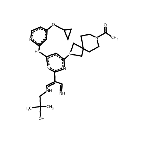 CC(=O)N1CCC2(CC1)CN(c1cc(Nc3cc(OC4CC4)ccn3)nc(/C(C=N)=C/NCC(C)(C)O)n1)C2